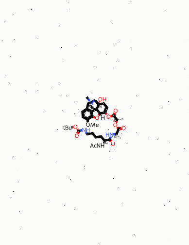 COc1ccc2c3c1O[C@H]1C(OC(=O)[C@H](C)OC(=O)[C@H](C)NC(=O)[C@H](CCCCNC(=O)OC(C)(C)C)NC(C)=O)=CC[C@]4(O)C(C2)N(C)CC[C@]314